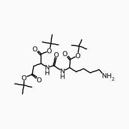 CC(C)(C)OC(=O)CC(NC(=O)NC(CCCCN)C(=O)OC(C)(C)C)C(=O)OC(C)(C)C